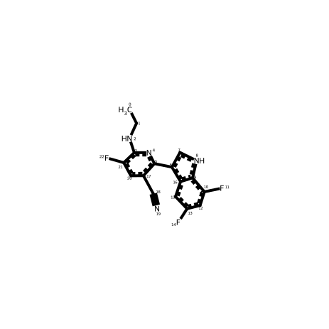 CCNc1nc(-c2c[nH]c3c(F)cc(F)cc23)c(C#N)cc1F